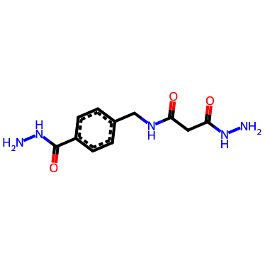 NNC(=O)CC(=O)NCc1ccc(C(=O)NN)cc1